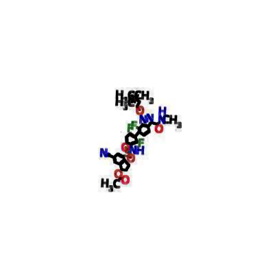 CNC(=O)c1nn(COCC[Si](C)(C)C)c2c(F)c(-c3c(F)ccc(NS(=O)(=O)c4cc(C#N)cc5c4CCC5OC(C)=O)c3F)ccc12